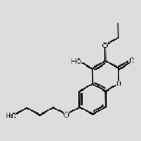 CCOc1c(O)c2cc(OCCCO)ccc2oc1=O